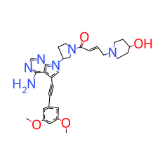 COc1cc(C#Cc2cn(C3CCN(C(=O)C=CCN4CCC(O)CC4)C3)c3ncnc(N)c23)cc(OC)c1